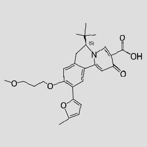 COCCCOc1cc2c(cc1-c1ccc(C)o1)-c1cc(=O)c(C(=O)O)cn1[C@H](C(C)(C)C)C2